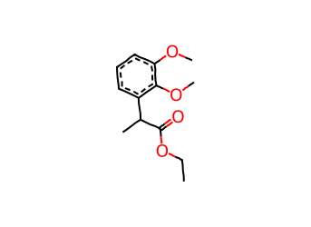 CCOC(=O)C(C)c1cccc(OC)c1OC